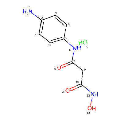 Cl.Nc1ccc(NC(=O)CC(=O)NO)cc1